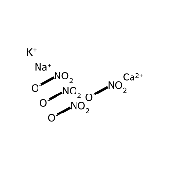 O=[N+]([O-])[O-].O=[N+]([O-])[O-].O=[N+]([O-])[O-].O=[N+]([O-])[O-].[Ca+2].[K+].[Na+]